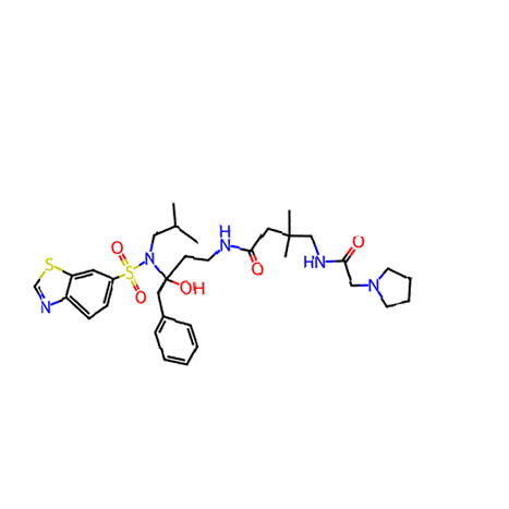 CC(C)CN(C(O)(CCNC(=O)CC(C)(C)CNC(=O)CN1CCCC1)Cc1ccccc1)S(=O)(=O)c1ccc2ncsc2c1